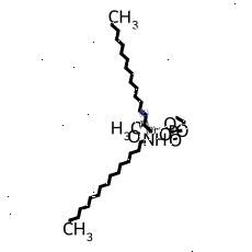 CCCCCCCCCCCCC/C=C/[C@@H](C)[C@H](COP1(=O)OCCO1)NC(=O)CCCCCCCCCCCCCCC